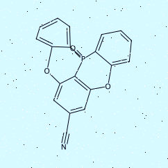 N#Cc1cc2c3c(c1)Oc1ccccc1P3(=O)c1ccccc1O2